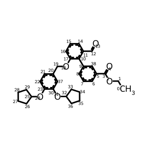 CCOC(=O)c1cccc(-c2c(C=O)cccc2OCc2ccc(OC3CCCC3)c(OC3CCCC3)c2)c1